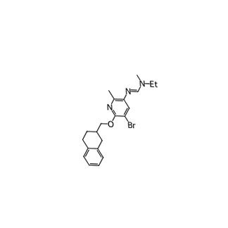 CCN(C)/C=N/c1cc(Br)c(OCC2CCc3ccccc3C2)nc1C